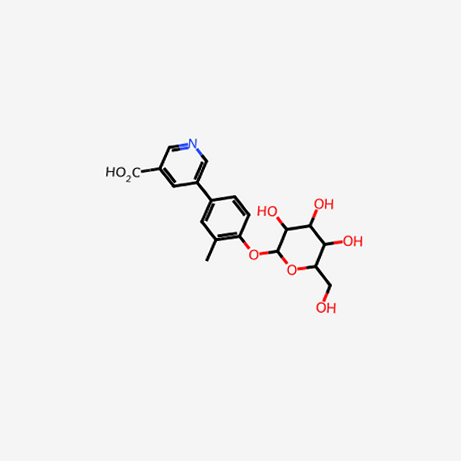 Cc1cc(-c2cncc(C(=O)O)c2)ccc1OC1OC(CO)C(O)C(O)C1O